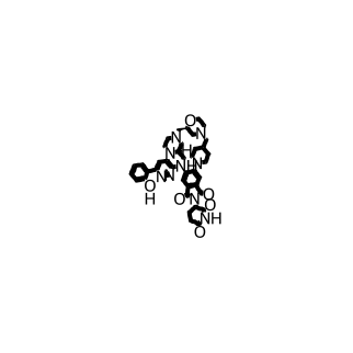 O=C1CCC(N2C(=O)c3ccc(N4CCC(CN5CCO[C@H](CN6CCN7c8cc(-c9ccccc9O)nnc8NC[C@H]7C6)C5)CC4)cc3C2=O)C(=O)N1